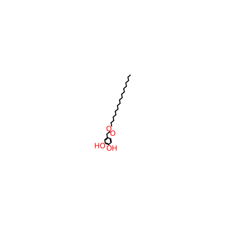 CCCCCCCCCCCCCCCCCCCOC(=O)Cc1ccc(O)c(O)c1